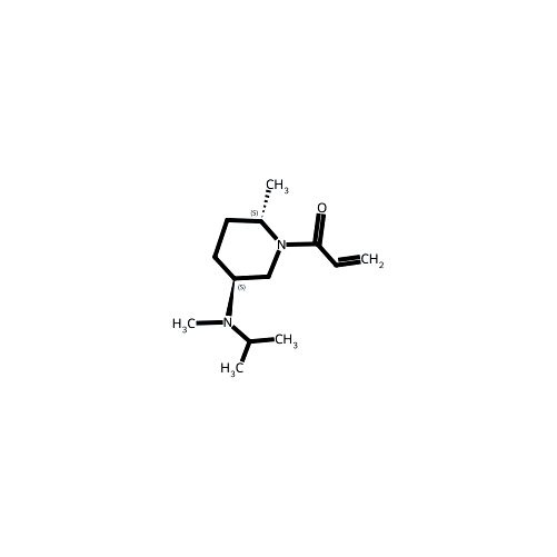 C=CC(=O)N1C[C@@H](N(C)C(C)C)CC[C@@H]1C